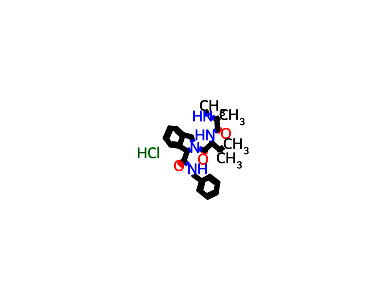 CNC(C)C(=O)NC(C(=O)N1Cc2ccccc2C1C(=O)NCc1ccccc1)C(C)C.Cl